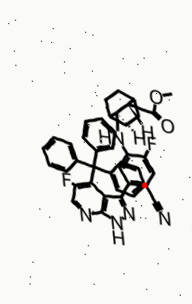 COC(=O)[C@H]1C2CCC(CC2)[C@@H]1Nc1cc(-c2n[nH]c3ncc(F)c(C(c4ccccc4)(c4ccccc4)c4ccccc4)c23)c(C#N)cc1F